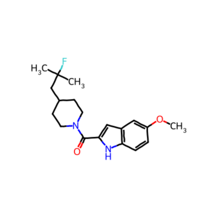 COc1ccc2[nH]c(C(=O)N3CCC(CC(C)(C)F)CC3)cc2c1